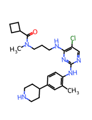 Cc1cc(C2CCNCC2)ccc1Nc1ncc(Cl)c(NCCCN(C)C(=O)C2CCC2)n1